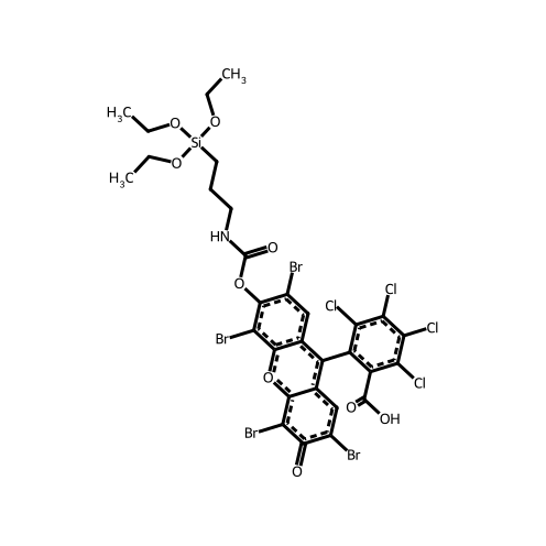 CCO[Si](CCCNC(=O)Oc1c(Br)cc2c(-c3c(Cl)c(Cl)c(Cl)c(Cl)c3C(=O)O)c3cc(Br)c(=O)c(Br)c-3oc2c1Br)(OCC)OCC